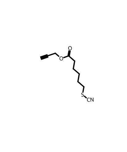 C#CCOC(=O)CCCCCSC#N